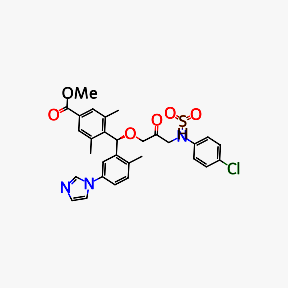 COC(=O)c1cc(C)c([C@@H](OCC(=O)CN(c2ccc(Cl)cc2)[SH](=O)=O)c2cc(-n3ccnc3)ccc2C)c(C)c1